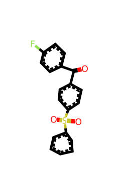 O=C(c1ccc(F)cc1)c1ccc(S(=O)(=O)c2ccccc2)cc1